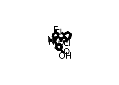 O=C(O)c1ccc(C2=NN=C3CC(F)=CC(C(=O)c4c(Cl)cccc4Cl)=C32)cc1